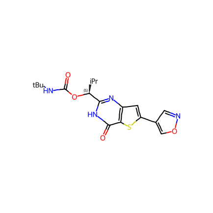 CC(C)[C@H](OC(=O)NC(C)(C)C)c1nc2cc(-c3cnoc3)sc2c(=O)[nH]1